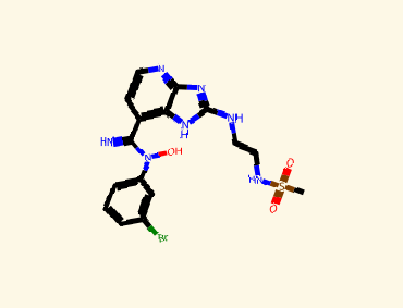 CS(=O)(=O)NCCNc1nc2nccc(C(=N)N(O)c3cccc(Br)c3)c2[nH]1